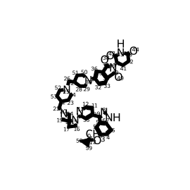 CC1(Oc2ccc3[nH]nc(-c4ccnc(N5CCC56CN(CC5CCN(CC7CCN(c8ccc9c(c8)C(=O)N(C8CCC(=O)NC8=O)C9=O)CC7)CC5)C6)c4)c3c2)CC1